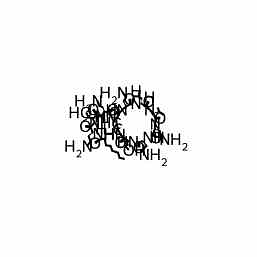 CCCCCCCC(=O)N[C@@H](CCN)C(=O)N[C@H](C(=O)N[C@@H](CCN)C(=O)N[C@H]1CCNC(=O)[C@H]([C@@H](C)O)NC(=O)[C@H](CCN)NC(=O)[C@H](CCN)NC(=O)[C@H](C(C)C)NC(=O)[C@@H](CC(C)C)NC(=O)[C@H](CCN)NC1=O)[C@@H](C)O